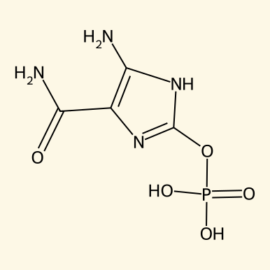 NC(=O)c1nc(OP(=O)(O)O)[nH]c1N